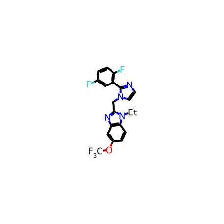 CCn1c(Cn2ccnc2-c2cc(F)ccc2F)nc2cc(OC(F)(F)F)ccc21